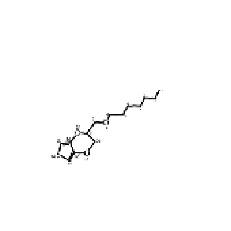 CCCCCCCOCC1COc2cscc2O1